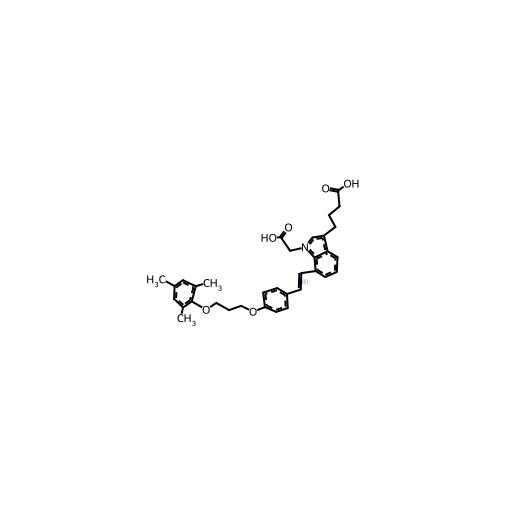 Cc1cc(C)c(OCCCOc2ccc(/C=C/c3cccc4c(CCCC(=O)O)cn(CC(=O)O)c34)cc2)c(C)c1